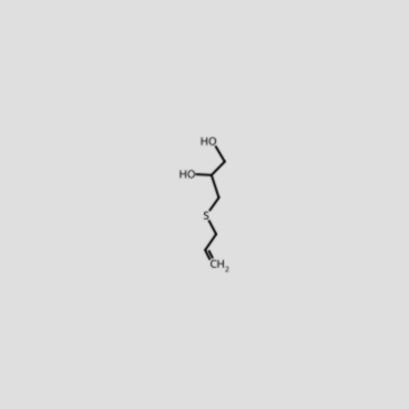 C=CCSCC(O)CO